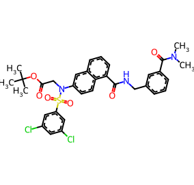 CN(C)C(=O)c1cccc(CNC(=O)c2cccc3cc(N(CC(=O)OC(C)(C)C)S(=O)(=O)c4cc(Cl)cc(Cl)c4)ccc23)c1